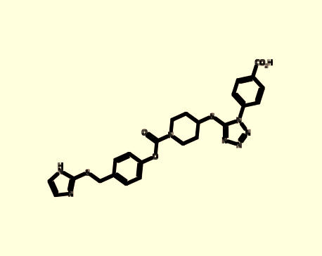 O=C(O)c1ccc(-n2nnnc2SC2CCN(C(=O)Oc3ccc(CSc4ncc[nH]4)cc3)CC2)cc1